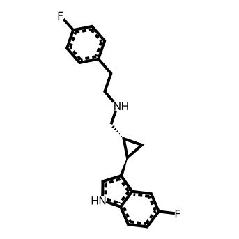 Fc1ccc(CCNC[C@@H]2C[C@H]2c2c[nH]c3ccc(F)cc23)cc1